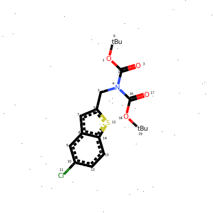 CC(C)(C)OC(=O)N(Cc1cc2cc(Cl)ccc2s1)C(=O)OC(C)(C)C